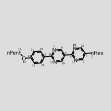 CCCCCCc1cnc(-c2cnc(-c3ccc(OCCCCC)cc3)nc2)nc1